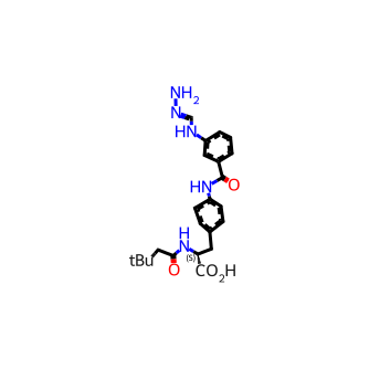 CC(C)(C)CC(=O)N[C@@H](Cc1ccc(NC(=O)c2cccc(NC=NN)c2)cc1)C(=O)O